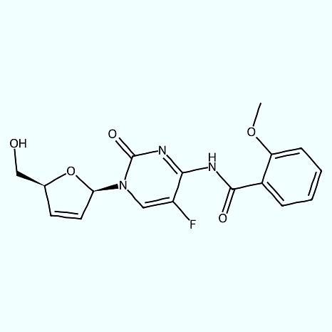 COc1ccccc1C(=O)Nc1nc(=O)n([C@H]2C=C[C@@H](CO)O2)cc1F